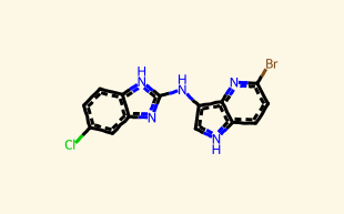 Clc1ccc2[nH]c(Nc3c[nH]c4ccc(Br)nc34)nc2c1